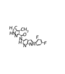 Cc1[nH]nc(C(=O)Nc2cnc3[nH]c(-c4ccc(F)cc4F)cc3c2)c1C